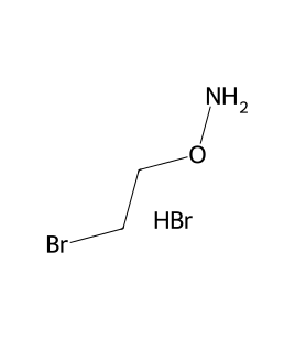 Br.NOCCBr